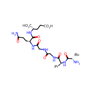 CC[C@H](C)[C@H](N)C(=O)N[C@H](C(=O)NCC(=O)NCC(=O)N[C@@H](CCC(N)=O)C(=O)N[C@@H](CCC(=O)O)C(=O)O)C(C)C